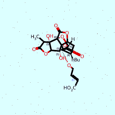 CCCC[C@@H]1CC2OC(=O)[C@@]34O[C@H]5OC(=O)[C@@H](OC/C=C/C(=O)O)C15C23[C@H](O)C1OC(=O)C(C)[C@]14O